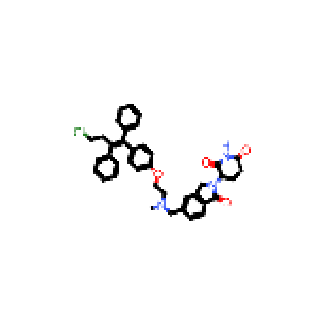 CN(CCOc1ccc(C(=C(CCCl)c2ccccc2)c2ccccc2)cc1)Cc1ccc2c(c1)CN(C1CCC(=O)NC1=O)C2=O